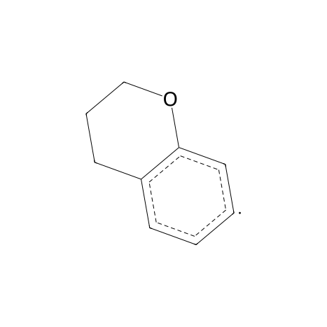 [c]1ccc2c(c1)OCCC2